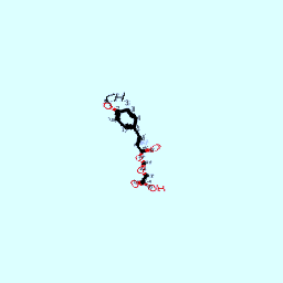 COc1ccc(/C=C/C(=O)OCOCC(=O)O)cc1